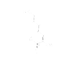 CCCCCC=C(C)C(=O)Br